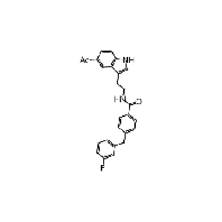 CC(=O)c1ccc2[nH]cc(CCNC(=O)c3ccc(Cc4cccc(F)c4)cc3)c2c1